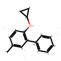 Cc1ccc(OC2CC2)c(-c2ccccc2)c1